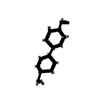 COc1ncc(-c2ccc(N)cc2)cn1